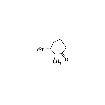 CCCC1CCCC(=O)C1C